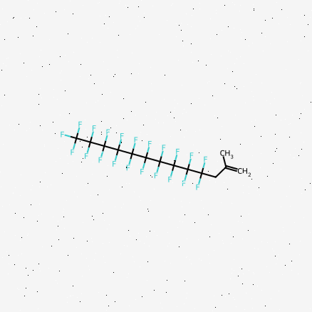 C=C(C)CC(F)(F)C(F)(F)C(F)(F)C(F)(F)C(F)(F)C(F)(F)C(F)(F)C(F)(F)C(F)(F)C(F)(F)F